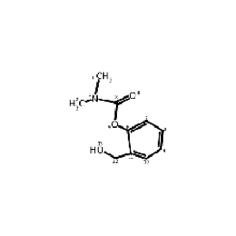 CN(C)C(=O)Oc1ccccc1CO